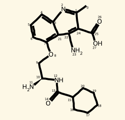 Cc1nc2cccc(OC[C@H](N)NC(=O)C3CCCCC3)c2c(N)c1C(=O)O